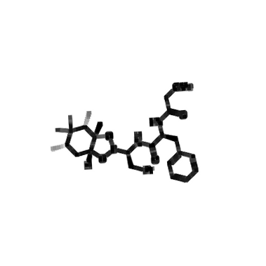 COCC(=O)N[C@@H](Cc1ccccc1)C(=O)N[C@@H](CC(C)C)B1O[C@@H]2C[C@H](C)C(C)(C)[C@H](C)[C@]2(C)O1